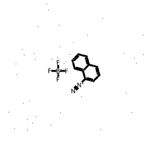 F[B-](F)(F)F.N#[N+]c1cccc2ccccc12